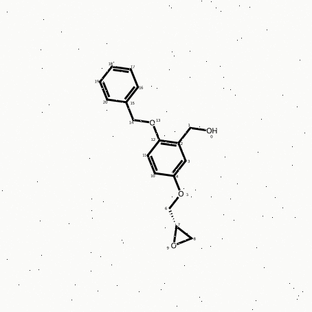 OCc1cc(OC[C@@H]2CO2)ccc1OCc1ccccc1